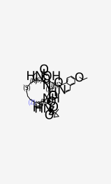 CCOc1ccc2c(O[C@@H]3C[C@H]4C(=O)N[C@]5(C(=O)NS(=O)(=O)C6(C)CC6)C[C@H]5/C=C\CC[C@H](C)C[C@@H](CC)[C@H](NC(=O)O)C(=O)N4C3)nccc2c1